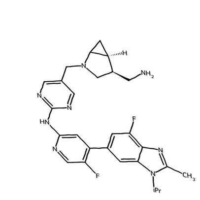 Cc1nc2c(F)cc(-c3cc(Nc4ncc(CN5C[C@H](CN)[C@@H]6CC65)cn4)ncc3F)cc2n1C(C)C